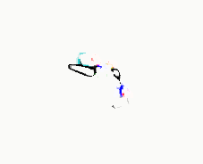 CS(=O)(=NC(=O)c1c(F)cccc1Cl)c1ccc(-c2noc(C(F)(F)F)n2)cc1